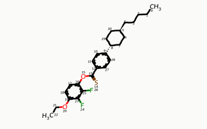 CCCCC[C@H]1CC[C@H](c2ccc(C(=S)Oc3ccc(OCC)c(F)c3F)cc2)CC1